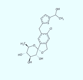 CC(O)c1ccc(Cc2cc3c(cc2Cl)CO[C@]32O[C@H](C)[C@@H](O)[C@H](O)[C@H]2O)s1